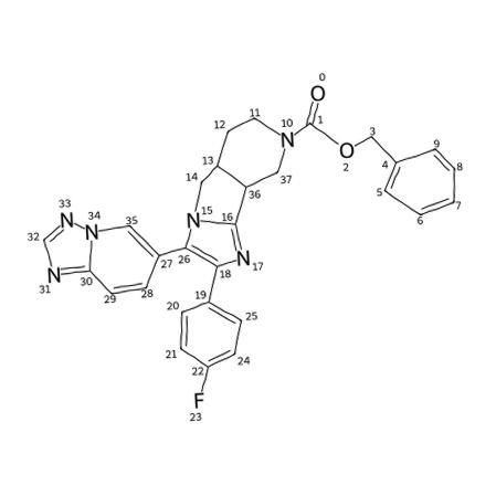 O=C(OCc1ccccc1)N1CCC2Cn3c(nc(-c4ccc(F)cc4)c3-c3ccc4ncnn4c3)C2C1